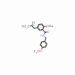 CC[C@@H](Cc1ccc(OC)c(C(=O)NCc2ccc(OC(F)(F)F)cc2)c1)C(=O)O